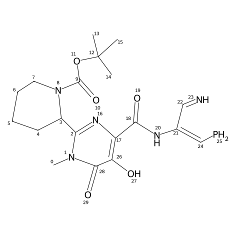 Cn1c(C2CCCCN2C(=O)OC(C)(C)C)nc(C(=O)N/C(C=N)=C/P)c(O)c1=O